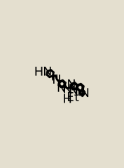 CCc1cnc2ccc3cnc(Nc4ccc(N5CC6(CCNCC6)C5)cn4)nc3n12